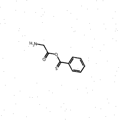 NCC(=O)OC(=S)c1ccccc1